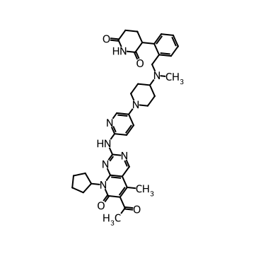 CC(=O)c1c(C)c2cnc(Nc3ccc(N4CCC(N(C)Cc5ccccc5C5CCC(=O)NC5=O)CC4)cn3)nc2n(C2CCCC2)c1=O